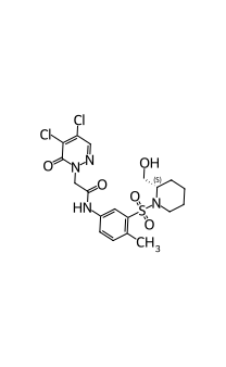 Cc1ccc(NC(=O)Cn2ncc(Cl)c(Cl)c2=O)cc1S(=O)(=O)N1CCCC[C@H]1CO